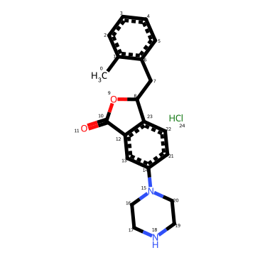 Cc1ccccc1CC1OC(=O)c2cc(N3CCNCC3)ccc21.Cl